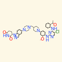 COc1cc(N2CCC(CN3CCN(c4ccc5c(cnn5C5CCC(=O)NC5=O)c4)CC3)CC2)ccc1Nc1ncc(Cl)c(Nc2ccccc2C(C)=O)n1